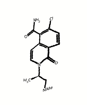 CNC[C@@H](C)n1ccc2c(C(N)=O)c(Cl)ccc2c1=O